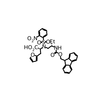 CC[C@@H](CN([C@@H](Cc1ccco1)C(=O)O)S(=O)(=O)c1ccccc1[N+](=O)[O-])NC(=O)OCC1c2ccccc2-c2ccccc21